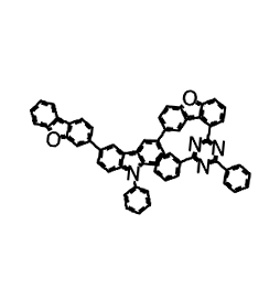 c1ccc(-c2nc(-c3ccccc3)nc(-c3cccc4oc5ccc(-c6ccc7c(c6)c6cc(-c8ccc9c(c8)oc8ccccc89)ccc6n7-c6ccccc6)cc5c34)n2)cc1